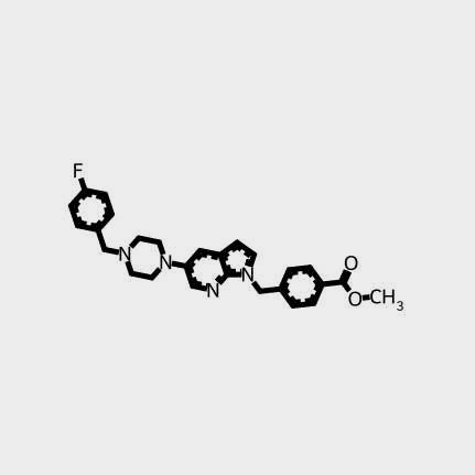 COC(=O)c1ccc(Cn2ccc3cc(N4CCN(Cc5ccc(F)cc5)CC4)cnc32)cc1